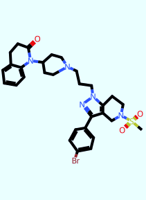 CS(=O)(=O)N1CCc2c(c(-c3ccc(Br)cc3)nn2CCCN2CCC(N3C(=O)CCc4ccccc43)CC2)C1